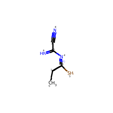 CC/C(S)=N\C(=N)C#N